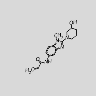 C=CC(=O)Nc1ccc2c(c1)nc(N1CCCC(O)C1)n2C